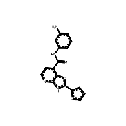 Nc1cccc(NC(=O)c2ccnc3[nH]c(-c4cccs4)nc23)c1